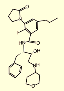 CCCc1cc(C(=O)N[C@@H](Cc2ccccc2)[C@H](O)CNC2CCOCC2)c(F)c(N2CCCC2=O)c1